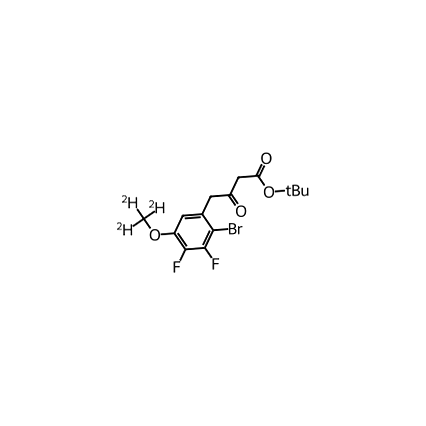 [2H]C([2H])([2H])Oc1cc(CC(=O)CC(=O)OC(C)(C)C)c(Br)c(F)c1F